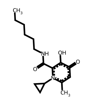 CCCCCCNC(=O)c1c(O)c(=O)cc(C)n1C1CC1